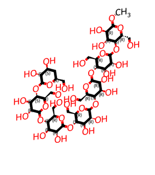 COC1O[C@H](CO)[C@@H](OC2O[C@H](CO)[C@@H](OC3O[C@H](CO)[C@@H](OC4O[C@H](CO)[C@@H](OC5O[C@H](CO)[C@@H](OC6O[C@H](CO)[C@@H](OC7O[C@H](CO)C[C@H](O)[C@H]7O)[C@H](O)[C@H]6O)[C@H](O)[C@H]5O)[C@H](O)[C@H]4O)[C@H](O)[C@H]3O)[C@H](O)[C@H]2O)[C@H](O)[C@H]1O